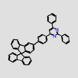 c1ccc(-c2cc(-c3ccc(-c4ccc5c(c4)-c4ccccc4C54c5ccccc5-c5ccccc54)cc3)nc(-c3ccccc3)n2)cc1